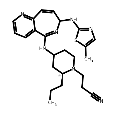 CCC[C@H]1CC(NC2=NC(Nc3ncc(C)s3)C=Cc3ncccc32)CCN1CCC#N